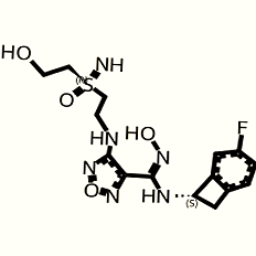 N=[S@](=O)(CCO)CCNc1nonc1C(=NO)N[C@H]1Cc2ccc(F)cc21